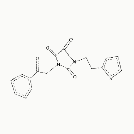 O=C(CN1C(=O)C(=O)N(CCc2cccs2)C1=O)c1ccccc1